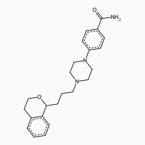 NC(=O)c1ccc(N2CCN(CCCC3OCCc4ccccc43)CC2)cc1